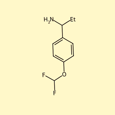 CCC(N)c1ccc(OC(F)F)cc1